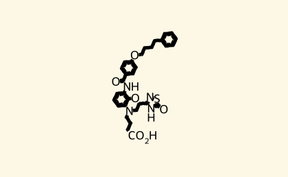 O=C(O)CCCN1CC(c2nsc(=O)[nH]2)Oc2c(NC(=O)c3ccc(OCCCCc4ccccc4)cc3)cccc21